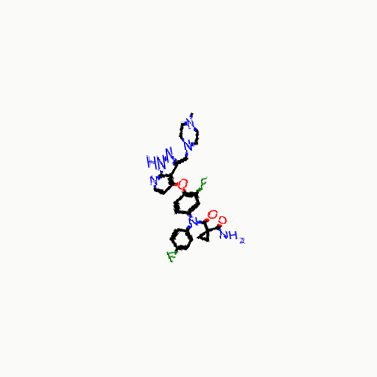 CN1CCN(Cc2n[nH]c3nccc(Oc4ccc(N(C(=O)C5(C(N)=O)CC5)c5ccc(F)cc5)cc4F)c23)CC1